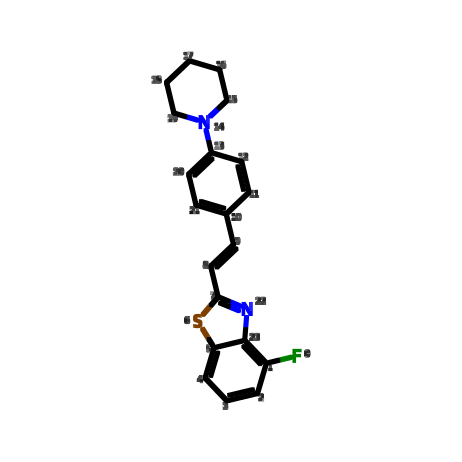 Fc1cccc2sc(C=Cc3ccc(N4CCCCC4)cc3)nc12